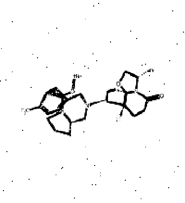 CC(C)[C@H]1CO[C@]23CC[C@H](N(Cc4ccc(C(F)(F)F)cc4)C[C@H]4CCCN4C(=O)OC(C)(C)C)C[C@H]2CCC(=O)N13